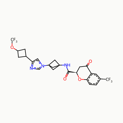 O=C1C[C@H](C(=O)NC23CC(n4cnc(C5CC(OC(F)(F)F)C5)c4)(C2)C3)Oc2ccc(C(F)(F)F)cc21